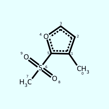 Cc1ccoc1S(C)(=O)=O